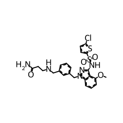 COc1cccc2c1c(NS(=O)(=O)c1ccc(Cl)s1)nn2Cc1cccc(CNCCC(N)=O)c1